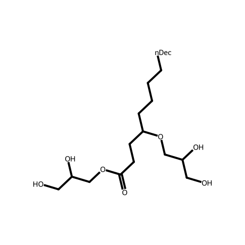 CCCCCCCCCCCCCCC(CCC(=O)OCC(O)CO)OCC(O)CO